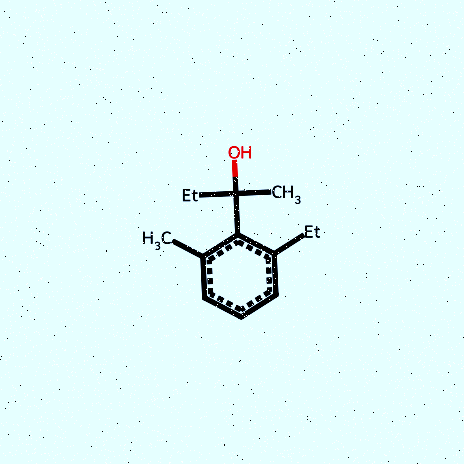 CCc1cccc(C)c1C(C)(O)CC